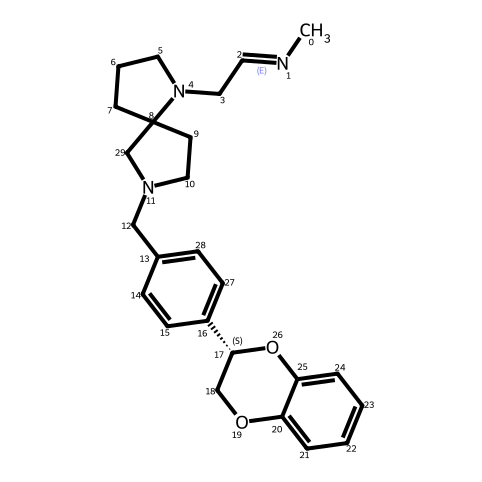 C/N=C/CN1CCCC12CCN(Cc1ccc([C@H]3COc4ccccc4O3)cc1)C2